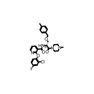 Cc1ccc(COC[C@@H](NC(=O)c2cccnc2Oc2ccc(F)cc2Cl)C(=O)N2CCN(C)CC2)cc1